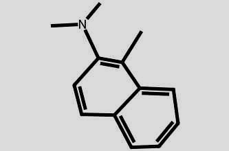 Cc1c(N(C)C)ccc2ccccc12